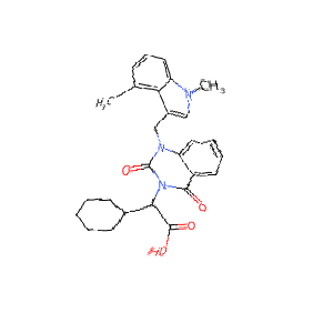 Cc1cccc2c1c(Cn1c(=O)n(C(C(=O)O)C3CCCCC3)c(=O)c3ccccc31)cn2C